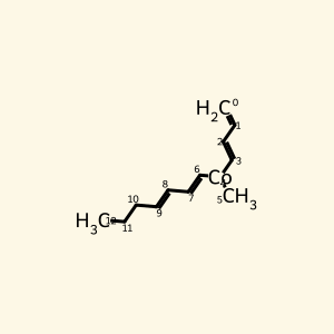 C=CC=[CH][Co]([CH3])[CH]=CC=CCCC